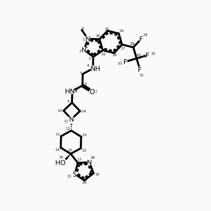 Cn1nc(NCC(=O)NC2CN([C@H]3CC[C@@](O)(c4nccs4)CC3)C2)c2cc(C(F)C(F)(F)F)ccc21